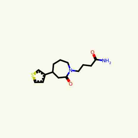 NC(=O)CCCN1CCCC(c2ccsc2)CC1=O